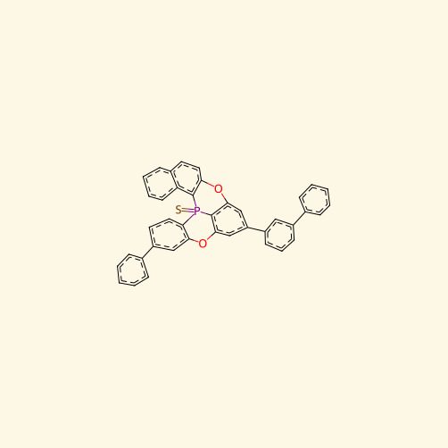 S=P12c3ccc(-c4ccccc4)cc3Oc3cc(-c4cccc(-c5ccccc5)c4)cc(c31)Oc1ccc3ccccc3c12